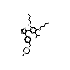 CCCCOc1cc(OCCCC)c(C(C)C)cc1-c1ncoc1-c1ccc(CN2CCN(C)CC2)cc1